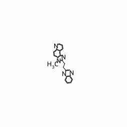 Cn1c(CCc2cnc3ccccc3n2)nc2c3cccnc3ccc21